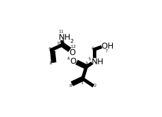 C=C(C)C(=O)NCO.C=CC(N)=O